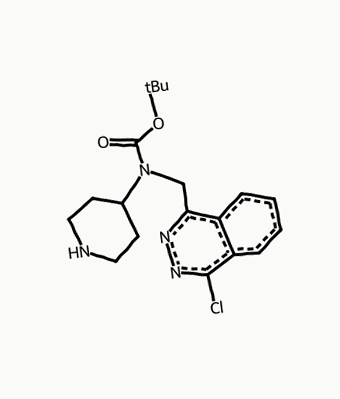 CC(C)(C)OC(=O)N(Cc1nnc(Cl)c2ccccc12)C1CCNCC1